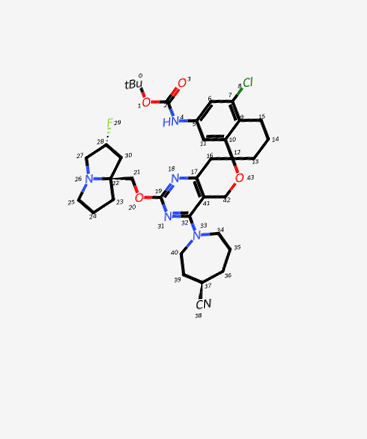 CC(C)(C)OC(=O)Nc1cc(Cl)c2c(c1)C1(CCC2)Cc2nc(OC[C@@]34CCCN3C[C@H](F)C4)nc(N3CCC[C@@H](C#N)CC3)c2CO1